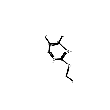 CCOc1ncc(C)c(C)n1